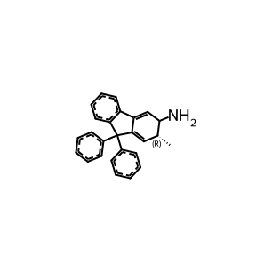 C[C@@H]1C=C2C(=CC1N)c1ccccc1C2(c1ccccc1)c1ccccc1